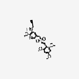 C#CCNc1cc(CS(=O)(=O)/C=C/c2c(OC)cc(OC)cc2OC)cnc1OC